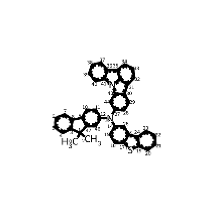 CC1(C)c2ccccc2-c2ccc(N(c3ccc4sc5ccccc5c4c3)c3ccc4c5cccc6c7ccccc7n(c4c3)c65)cc21